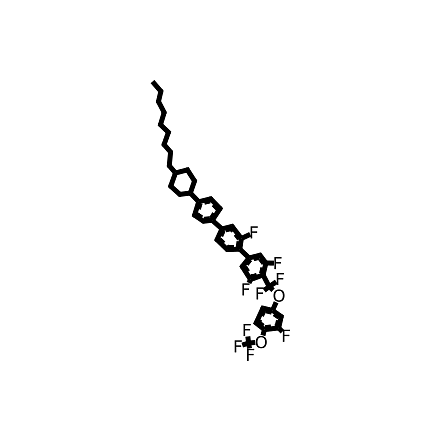 CCCCCCCCCC1CCC(c2ccc(-c3ccc(-c4cc(F)c(C(F)(F)Oc5ccc(OC(F)(F)F)c(F)c5)c(F)c4)c(F)c3)cc2)CC1